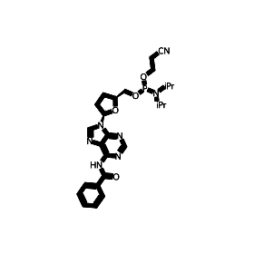 CC(C)N(C(C)C)P(OCCC#N)OC[C@@H]1CC[C@H](n2cnc3c(NC(=O)c4ccccc4)ncnc32)O1